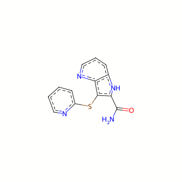 NC(=O)c1[nH]c2cccnc2c1Sc1ccccn1